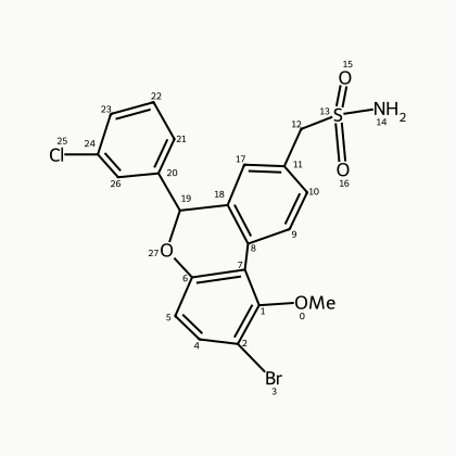 COc1c(Br)ccc2c1-c1ccc(CS(N)(=O)=O)cc1C(c1cccc(Cl)c1)O2